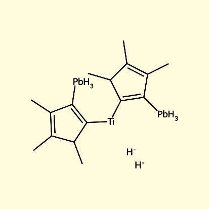 CC1=C(C)C(C)[C]([Ti][C]2=[C]([PbH3])C(C)=C(C)C2C)=[C]1[PbH3].[H-].[H-]